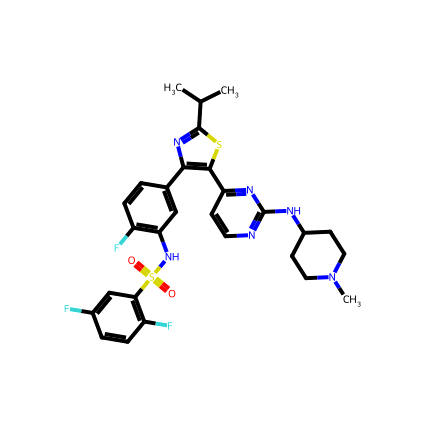 CC(C)c1nc(-c2ccc(F)c(NS(=O)(=O)c3cc(F)ccc3F)c2)c(-c2ccnc(NC3CCN(C)CC3)n2)s1